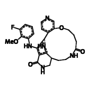 COc1c(F)cccc1Nc1c2[nH]c3c1C(=O)NCC3CCNC(=O)CCCOc1cnccc1-2